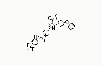 CCOC(=O)c1sc(C2CCN(C(=O)Nc3ccc(C(F)(F)F)cc3)CC2)nc1-c1ccc(Oc2ccccc2)cc1